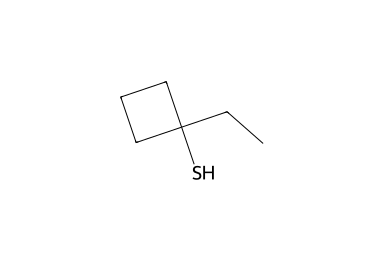 CCC1(S)CCC1